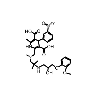 COc1ccccc1OCC(O)CNC(C)(C)CN(C)CC1=C(C(=O)O)C(c2cccc([N+](=O)[O-])c2)C(C(=O)O)=C(C)N1